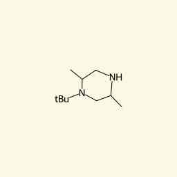 CC1CN(C(C)(C)C)C(C)CN1